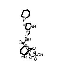 O=C(NOC[C@H]1C[C@H](CN2CCCCC2)CN1)[C@@H]1CC[C@@H]2CN1C(=O)N2OS(=O)(=O)O